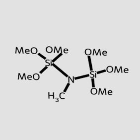 CO[Si](OC)(OC)N(C)[Si](OC)(OC)OC